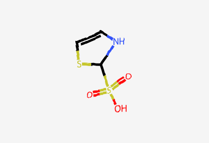 O=S(=O)(O)C1NC=CS1